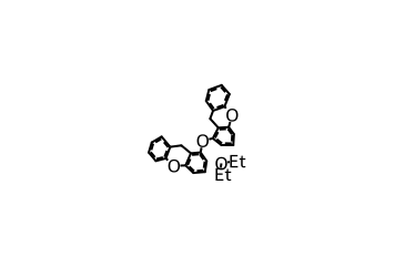 CCOCC.c1ccc2c(c1)Cc1c(cccc1Oc1cccc3c1Cc1ccccc1O3)O2